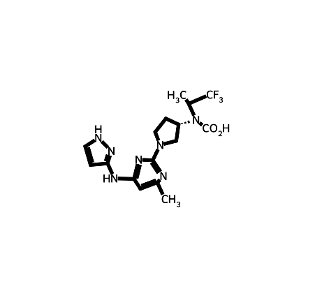 Cc1cc(Nc2cc[nH]n2)nc(N2CC[C@H](N(C(=O)O)C(C)C(F)(F)F)C2)n1